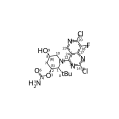 CC(C)(C)C1[C@@H](OC(N)=O)C[C@@H](O)CN1c1nc(Cl)nc2c(F)c(Cl)ncc12